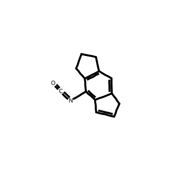 O=C=Nc1c2c(cc3c1CCC3)CC=C2